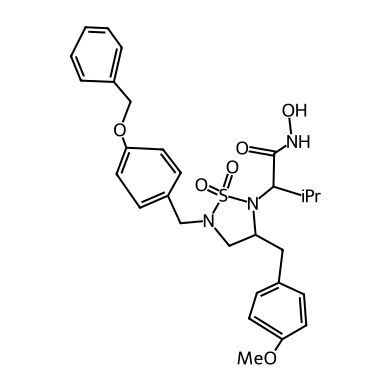 COc1ccc(CC2CN(Cc3ccc(OCc4ccccc4)cc3)S(=O)(=O)N2C(C(=O)NO)C(C)C)cc1